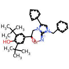 CC(C)(C)c1cc(C(=O)Cn2c(-c3ccccc3)cn(Cc3ccccc3)/c2=N/Br)cc(C(C)(C)C)c1O